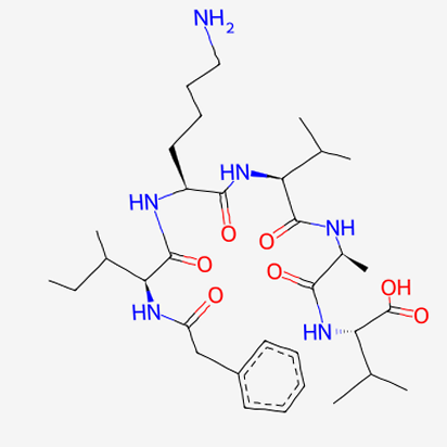 CCC(C)[C@H](NC(=O)Cc1ccccc1)C(=O)N[C@@H](CCCCN)C(=O)N[C@H](C(=O)N[C@@H](C)C(=O)N[C@H](C(=O)O)C(C)C)C(C)C